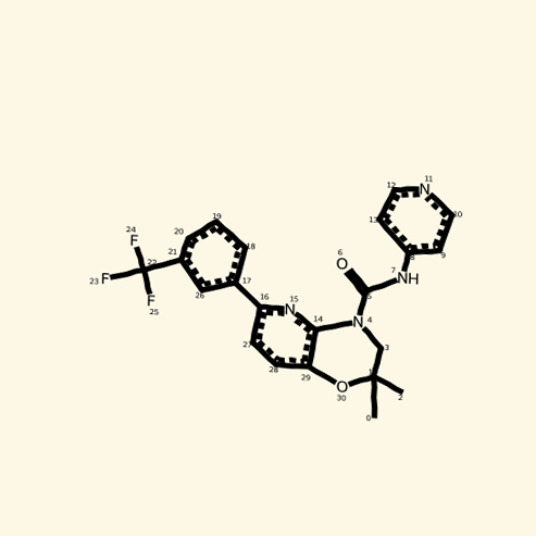 CC1(C)CN(C(=O)Nc2ccncc2)c2nc(-c3cccc(C(F)(F)F)c3)ccc2O1